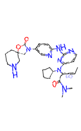 C/C=C(/C(=O)N(C)C)N(c1ccnc(Nc2ccc(N3CC4(CCCNC4)OC3=O)cn2)n1)C1CCCC1